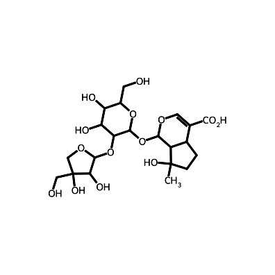 CC1(O)CCC2C(C(=O)O)=COC(OC3OC(CO)C(O)C(O)C3OC3OCC(O)(CO)C3O)C21